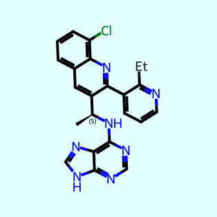 CCc1ncccc1-c1nc2c(Cl)cccc2cc1[C@H](C)Nc1ncnc2[nH]cnc12